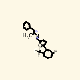 CC(=C\c1ccccc1)/N=C/c1ccc(C2=CC(F)=CCC=C2C(F)(F)F)o1